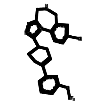 FC(F)(F)Oc1cccc(C2=CCC(c3nnc4n3-c3ccc(Cl)cc3CNC4)CC2)c1